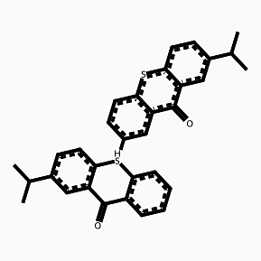 CC(C)c1ccc2c(c1)C(=O)c1ccccc1[SH]2c1ccc2sc3ccc(C(C)C)cc3c(=O)c2c1